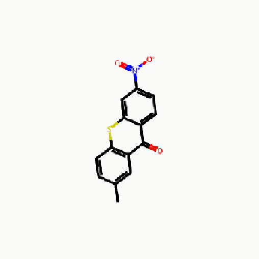 Cc1ccc2sc3cc([N+](=O)[O-])ccc3c(=O)c2c1